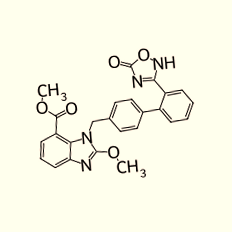 COC(=O)c1cccc2nc(OC)n(Cc3ccc(-c4ccccc4-c4nc(=O)o[nH]4)cc3)c12